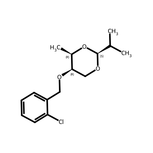 CC(C)[C@H]1OC[C@@H](OCc2ccccc2Cl)[C@@H](C)O1